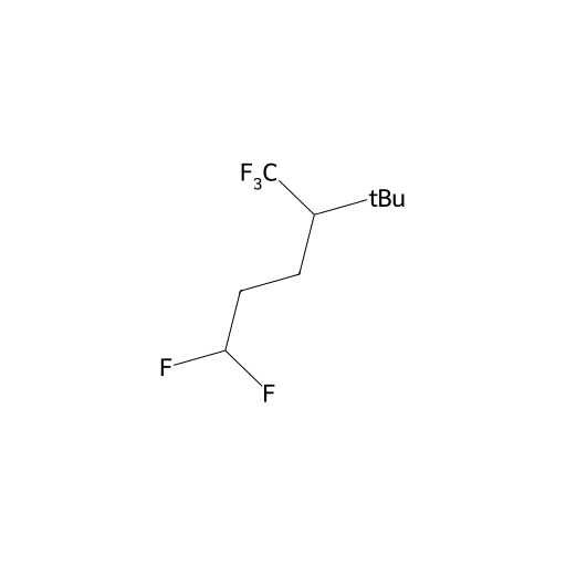 CC(C)(C)C(CCC(F)F)C(F)(F)F